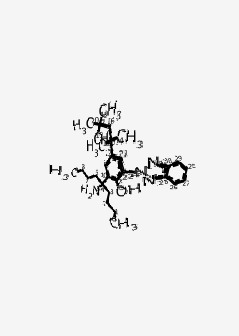 CCCCC(N)(CCCC)c1cc(C(C)(C)CC(C)(C)C)cc(-n2nc3ccccc3n2)c1O